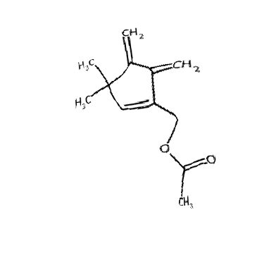 C=C1C(=C)C(C)(C)C=C1COC(C)=O